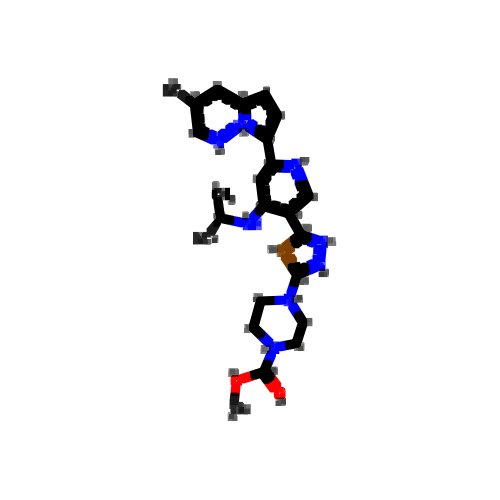 C[C@H](C#N)Nc1cc(-c2ccc3cc(C#N)cnn23)ncc1-c1nnc(N2CCN(C(=O)OC(C)(C)C)CC2)s1